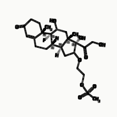 C[C@]12CCC(=O)C=C1CC[C@H]1[C@@H]3CC(OCCOS(C)(=O)=O)[C@](O)(C(=O)CO)[C@@]3(C)CC(O)[C@@]12F